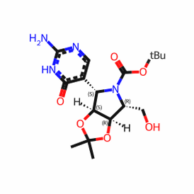 CC(C)(C)OC(=O)N1[C@H](CO)[C@H]2OC(C)(C)O[C@H]2[C@@H]1c1cnc(N)[nH]c1=O